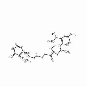 CC(C)N(C=O)c1cc(C(F)(F)F)cnc1N1CCN(C(=O)CCOC[C@H](C)Nc2cn[nH]c(=O)c2C(F)(F)F)C[C@@H]1C